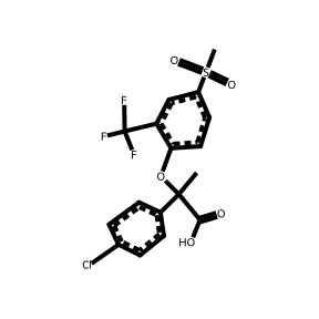 CC(Oc1ccc(S(C)(=O)=O)cc1C(F)(F)F)(C(=O)O)c1ccc(Cl)cc1